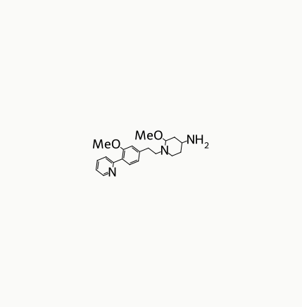 COc1cc(CCN2CCC(N)CC2OC)ccc1-c1ccccn1